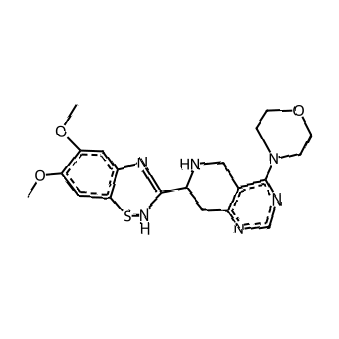 COc1cc2c(cc1OC)SNC(C1Cc3ncnc(N4CCOCC4)c3CN1)=N2